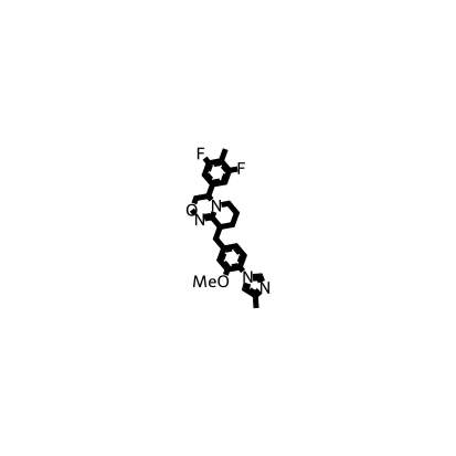 COc1cc(CC2CCCN3C2=NOCC3c2cc(F)c(C)c(F)c2)ccc1-n1cnc(C)c1